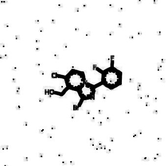 OCc1c(Cl)ccn2c(-c3cccc(F)c3F)nc(Br)c12